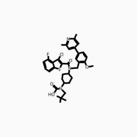 COc1ccc(-c2cc(C)nc(C)c2)cc1CN(C(=O)c1sc2cccc(F)c2c1Cl)C1CCC(N(CC(C)(C)C)C(=O)O)CC1